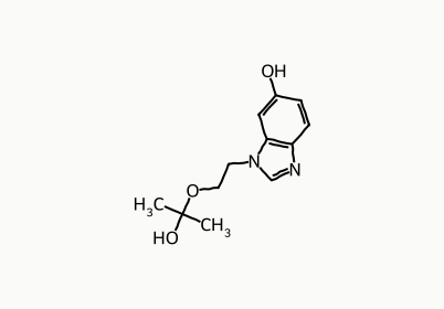 CC(C)(O)OCCn1cnc2ccc(O)cc21